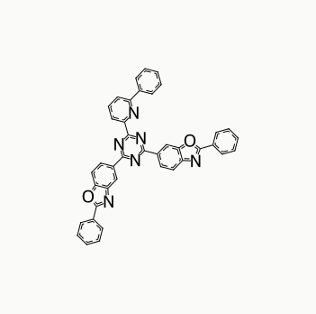 c1ccc(-c2cccc(-c3nc(-c4ccc5oc(-c6ccccc6)nc5c4)nc(-c4ccc5nc(-c6ccccc6)oc5c4)n3)n2)cc1